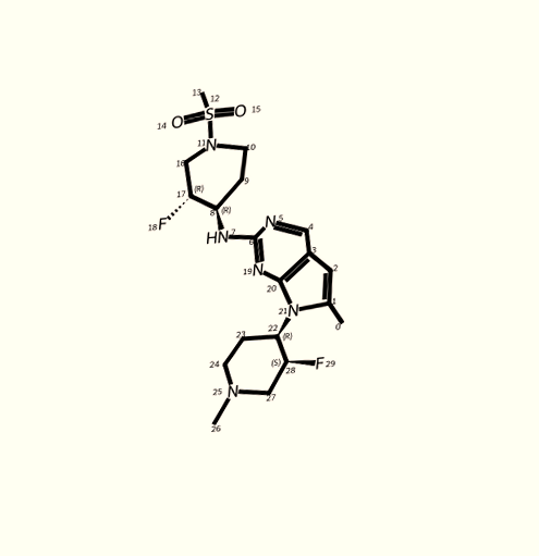 Cc1cc2cnc(N[C@@H]3CCN(S(C)(=O)=O)C[C@H]3F)nc2n1[C@@H]1CCN(C)C[C@@H]1F